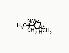 [CH2-][NH+]1CCC(C(C)(C)NC)C1